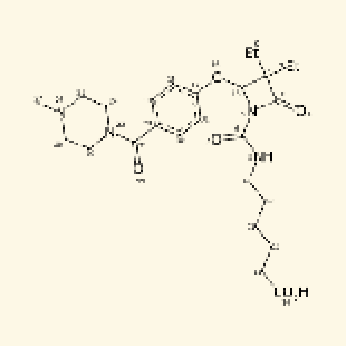 CCC1(CC)C(=O)N(C(=O)NCCCCCC(=O)O)C1Oc1ccc(C(=O)N2CCN(C)CC2)cc1